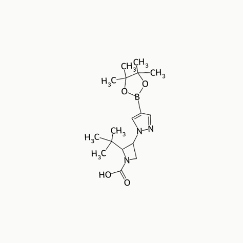 CC(C)(C)C1C(n2cc(B3OC(C)(C)C(C)(C)O3)cn2)CN1C(=O)O